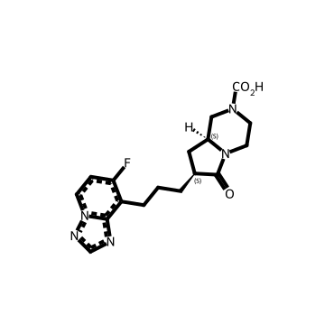 O=C(O)N1CCN2C(=O)[C@@H](CCCc3c(F)ccn4ncnc34)C[C@H]2C1